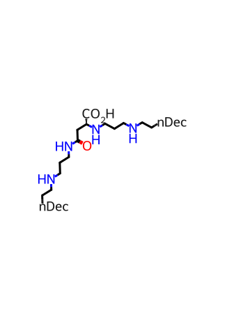 CCCCCCCCCCCCNCCCNC(=O)C[C@H](NCCCNCCCCCCCCCCCC)C(=O)O